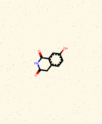 O=C1Cc2ccc(O)cc2C(=O)N1